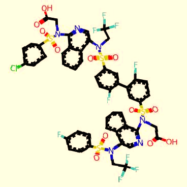 O=C(O)CN(c1ncc(N(CC(F)(F)F)S(=O)(=O)c2ccc(F)c(-c3cc(S(=O)(=O)N(CC(=O)O)c4ncc(N(CC(F)(F)F)S(=O)(=O)c5ccc(F)cc5)c5ccccc45)ccc3F)c2)c2ccccc12)S(=O)(=O)c1ccc(Cl)cc1